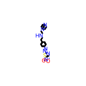 O=[N+]([O-])c1cnc(N=Nc2ccc(CCNCC[N+]34CCN(CC3)CC4)cc2)s1